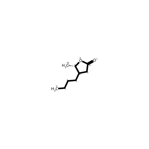 CCCCC1CC(=O)O[C@H]1C